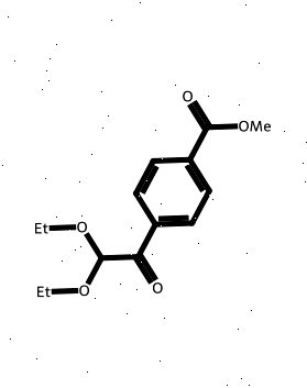 CCOC(OCC)C(=O)c1ccc(C(=O)OC)cc1